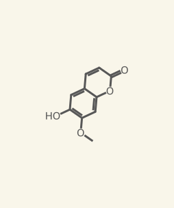 COc1cc2oc(=O)ccc2cc1O